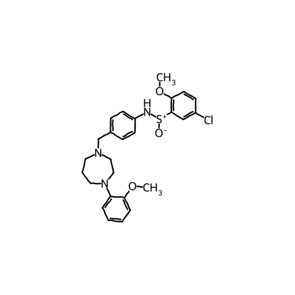 COc1ccccc1N1CCCN(Cc2ccc(N[S+]([O-])c3cc(Cl)ccc3OC)cc2)CC1